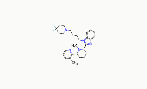 Cc1cccnc1[C@@H]1CCC[C@H](c2nc3ccccc3n2CCCCN2CCC(F)(F)CC2)N1C